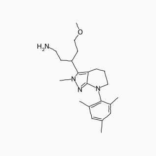 COCCC(CCN)c1c2c(nn1C)N(c1c(C)cc(C)cc1C)CCC2